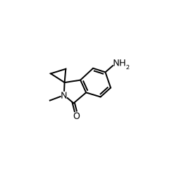 CN1C(=O)c2ccc(N)cc2C12CC2